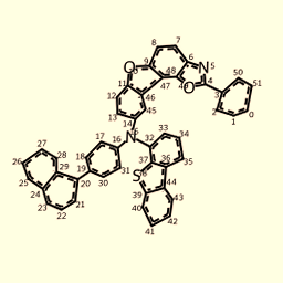 c1ccc(-c2nc3ccc4oc5ccc(N(c6ccc(-c7cccc8ccccc78)cc6)c6cccc7c6sc6ccccc67)cc5c4c3o2)cc1